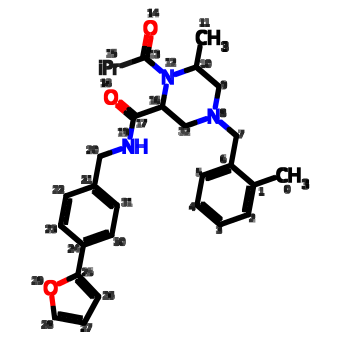 Cc1ccccc1CN1CC(C)N(C(=O)C(C)C)C(C(=O)NCc2ccc(-c3ccco3)cc2)C1